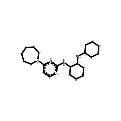 c1cc(N2CCCCCC2)nc(NC2CCCCC2NC2CCCCC2)n1